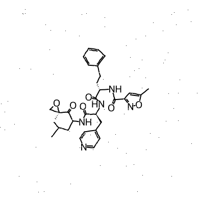 Cc1cc(C(=O)N[C@@H](CCc2ccccc2)C(=O)N[C@@H](Cc2ccncc2)C(=O)NC(CC(C)C)C(=O)[C@@]2(C)CO2)no1